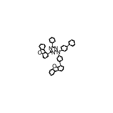 c1ccc(-c2ccc(N(c3ccc(-c4cccc5c4oc4ccccc45)cc3)c3nc(-c4ccccc4)nc(-c4cccc5oc6ccccc6c45)n3)cc2)cc1